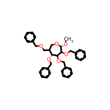 CO[C@H]1OCC(COCc2ccccc2)[C@@H](OCc2ccccc2)C(OCc2ccccc2)C1OCc1ccccc1